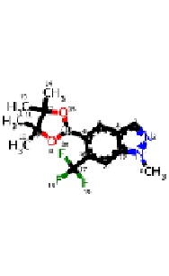 Cn1ncc2cc(B3OC(C)(C)C(C)(C)O3)c(C(F)(F)F)cc21